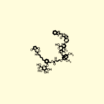 Cc1c(-c2ccc(N3CCn4cnc(C(=O)Nc5nc6ccccc6s5)c4C3)nc2C(=O)O)cnn1CC12CC3(C)CC(C)(C1)CC(OCCNC(=O)OCc1ccc(CCCCNC(=O)CN4C(=O)C=CC4=O)cc1O[C@@H]1O[C@H](C(=O)O)[C@@H](O)[C@H](O)[C@H]1O)(C3)C2